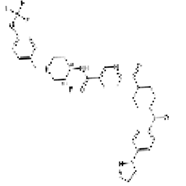 O=C(N[C@@H]1CCN(Cc2ccc(OC(F)(F)F)cc2)C[C@H]1F)c1ccc(C(=O)N2CCC(C(=O)c3ccc(-n4cccn4)cc3)CC2)nc1